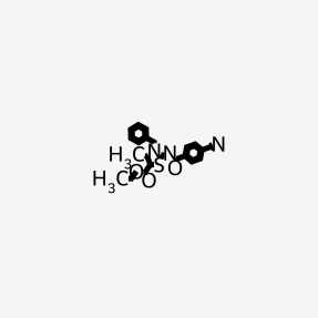 CCOC(=O)C1SC(=NC(=O)c2ccc(C#N)cc2)N(Cc2ccccc2)C1C